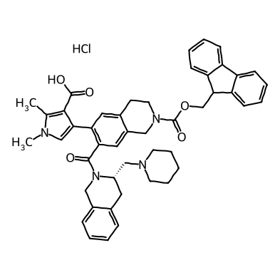 Cc1c(C(=O)O)c(-c2cc3c(cc2C(=O)N2Cc4ccccc4C[C@H]2CN2CCCCC2)CN(C(=O)OCC2c4ccccc4-c4ccccc42)CC3)cn1C.Cl